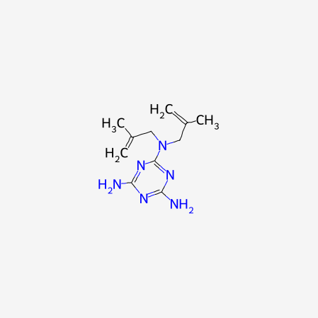 C=C(C)CN(CC(=C)C)c1nc(N)nc(N)n1